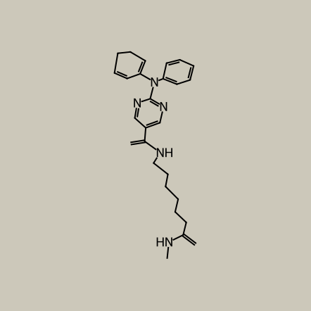 C=C(CCCCCCNC(=C)c1cnc(N(C2=CCCC=C2)c2ccccc2)nc1)NC